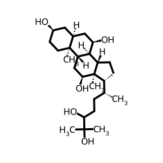 C[C@H](CCC(O)C(C)(C)O)[C@H]1CC[C@H]2[C@@H]3[C@H](O)C[C@@H]4C[C@H](O)CC[C@]4(C)[C@H]3C[C@H](O)[C@]12C